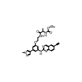 C#Cc1ccc2nc(Nc3cc(OCCNC(=O)C(C)NC(=O)OC(C)(C)C)cc(-c4cnn(C)c4)c3)ncc2c1